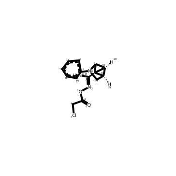 N/C(=N\OC(=O)CCl)[C@@]12C3[C@H]1[C@H]2CN3c1ccccc1